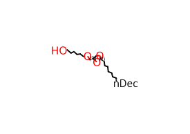 CCCCCCCCCCCCCCCCC[C@@H]1OC[C@@H](COCCCCCCO)O1